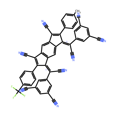 Cc1ccc(C2=C(C#N)c3cc4c(cc3/C2=C(\C#N)c2cc(C#N)cc(C#N)c2)/C(=C(\C#N)c2cc(C#N)cc(C#N)c2)C(c2ccc(C(F)(F)F)cc2)=C4C#N)cc1